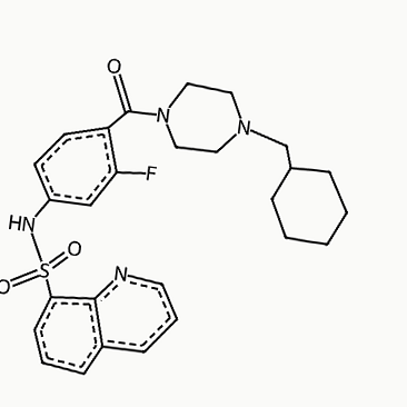 O=C(c1ccc(NS(=O)(=O)c2cccc3cccnc23)cc1F)N1CCN(CC2CCCCC2)CC1